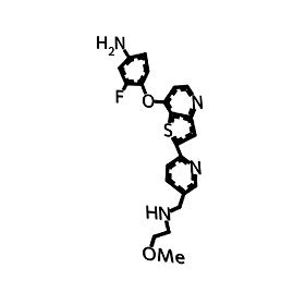 COCCNCc1ccc(-c2cc3nccc(Oc4ccc(N)cc4F)c3s2)nc1